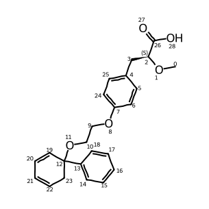 CO[C@@H](Cc1ccc(OCCOC2(c3ccccc3)C=CC=CC2)cc1)C(=O)O